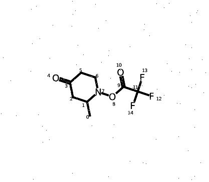 CC1CC(=O)CCN1OC(=O)C(F)(F)F